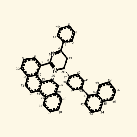 c1ccc(C2=NC(c3cccc4ccc5c6ccccc6ccc5c34)=N[C@@H](c3ccc(-c4cccc5ccccc45)cc3)C2)cc1